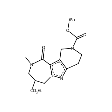 CCOC(=O)C1CN(C)C(=O)c2c3c(nn2C1)CCN(C(=O)OC(C)(C)C)C3